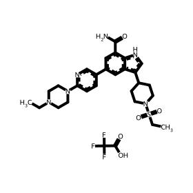 CCN1CCN(c2ccc(-c3cc(C(N)=O)c4[nH]cc(C5CCN(S(=O)(=O)CC)CC5)c4c3)cn2)CC1.O=C(O)C(F)(F)F